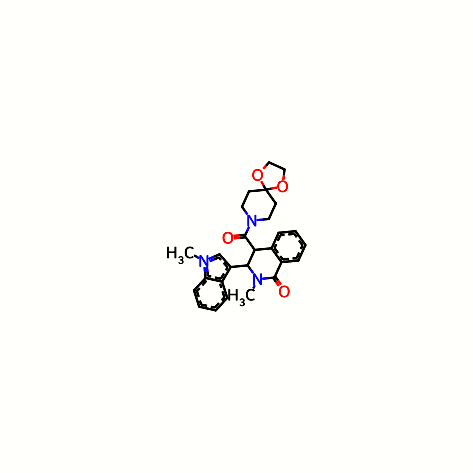 CN1C(=O)c2ccccc2C(C(=O)N2CCC3(CC2)OCCO3)C1c1cn(C)c2ccccc12